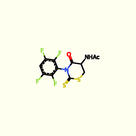 CC(=O)NC1CSC(=S)N(c2c(F)c(F)cc(F)c2F)C1=O